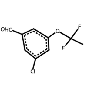 CC(F)(F)Oc1cc(Cl)cc(C=O)c1